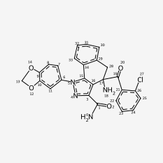 NC(=O)c1nn(-c2ccc3c(c2)OCO3)c2c1C(N)(C(=O)c1ccccc1Cl)Cc1ccccc1-2